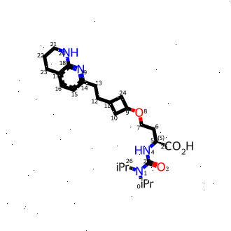 CC(C)N(C(=O)N[C@@H](CCOC1CC(CCc2ccc3c(n2)NCCC3)C1)C(=O)O)C(C)C